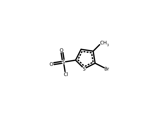 Cc1cc(S(=O)(=O)Cl)sc1Br